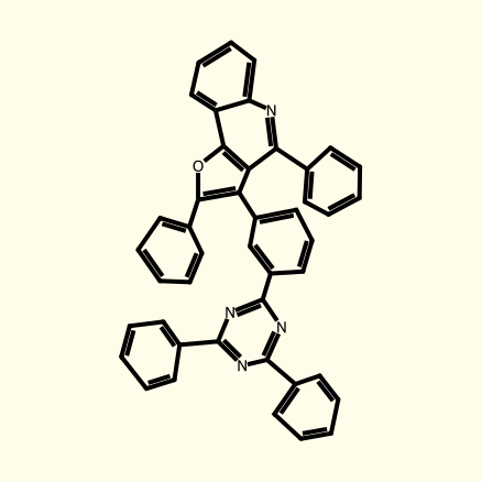 c1ccc(-c2nc(-c3ccccc3)nc(-c3cccc(-c4c(-c5ccccc5)oc5c4c(-c4ccccc4)nc4ccccc45)c3)n2)cc1